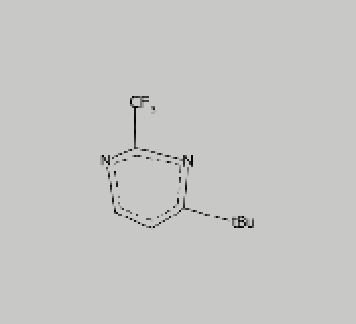 CC(C)(C)c1ccnc(C(F)(F)F)n1